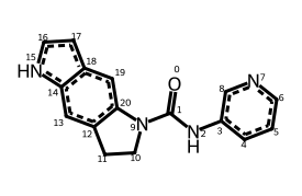 O=C(Nc1cccnc1)N1CCc2cc3[nH]ccc3cc21